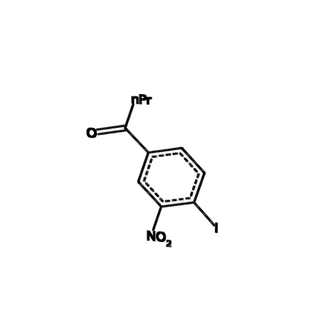 [CH2]CCC(=O)c1ccc(I)c([N+](=O)[O-])c1